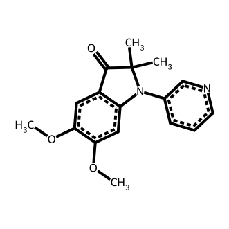 COc1cc2c(cc1OC)N(c1cccnc1)C(C)(C)C2=O